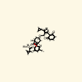 COC(=O)C1(Oc2cc(F)cc([C@]3(O)[C@H]4C[C@@H](OCc5c(-c6c(Cl)cccc6Cl)noc5C5CC5)C[C@@H]3[C@@H](C)C4)c2)CC1